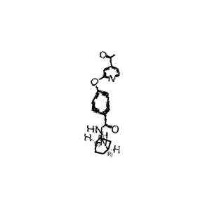 CC(=O)c1ccnc(Oc2ccc(C(=O)N[C@@H]3C[C@H]4CC[C@@H]3N4)cc2)c1